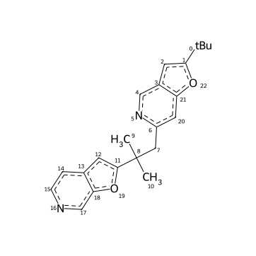 CC(C)(C)c1cc2cnc(CC(C)(C)c3cc4ccncc4o3)cc2o1